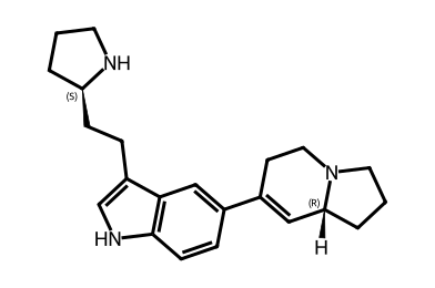 C1=C(c2ccc3[nH]cc(CC[C@H]4CCCN4)c3c2)CCN2CCC[C@H]12